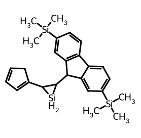 C[Si](C)(C)c1ccc2c(c1)C(C1[SiH2]C1C1=CC=CC1)c1cc([Si](C)(C)C)ccc1-2